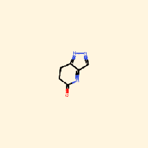 O=C1CCC2=NN=CC2=N1